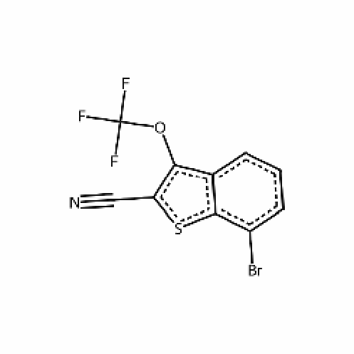 N#Cc1sc2c(Br)cccc2c1OC(F)(F)F